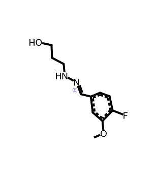 COc1cc(/C=N/NCCCO)ccc1F